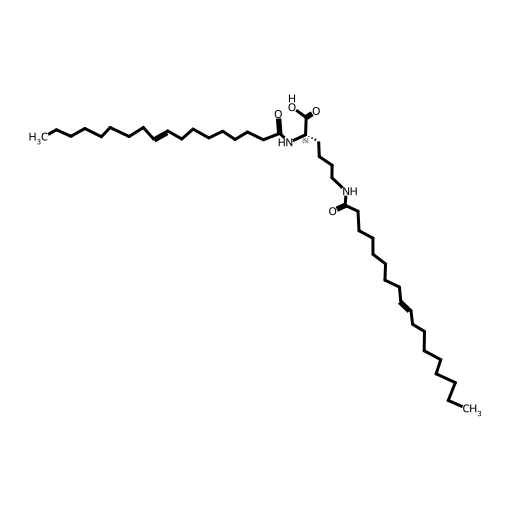 CCCCCCCCC=CCCCCCCCC(=O)NCCCC[C@H](NC(=O)CCCCCCCC=CCCCCCCCC)C(=O)O